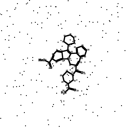 COC(=O)c1ccc2c(C3CCCCC3)c3n(c2c1)CC(C(=O)N1CCCC(C(N)=O)C1)=Cc1ccccc1-3